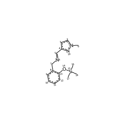 Cn1ccc(C=NCc2ccccc2O[Si](C)(C)C)n1